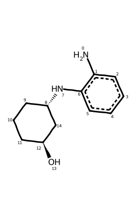 Nc1ccccc1N[C@H]1CCC[C@H](O)C1